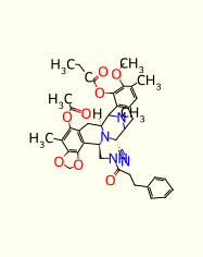 CCCC(=O)Oc1c(OC)c(C)cc2c1C1[C@@H]3Cc4c(OC(C)=O)c(C)c5c(c4[C@H](CNC(=O)CCc4ccccc4)N3[C@@H](C#N)C(C2)N1C)OCO5